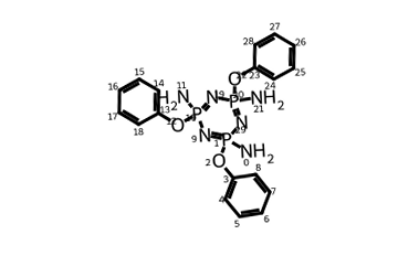 NP1(Oc2ccccc2)=NP(N)(Oc2ccccc2)=NP(N)(Oc2ccccc2)=N1